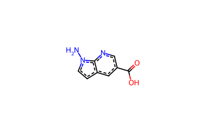 Nn1ccc2cc(C(=O)O)cnc21